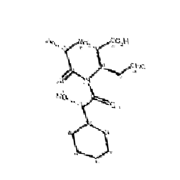 C[C@H](N)C(=O)N(C(=O)[C@@H](O)C1CCCCC1)[C@H](CC=O)CC(=O)O